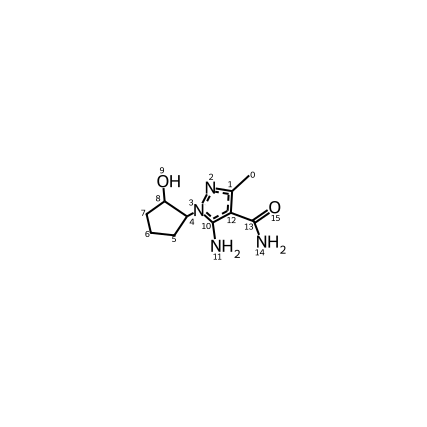 Cc1nn(C2CCCC2O)c(N)c1C(N)=O